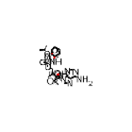 CC(C)OC(=O)[C@H](C)N[P@@](=O)(OC[C@]12CO[C@](C)([C@@H]1O)[C@H](n1cnc3c(N)ncnc31)O2)Oc1ccccc1